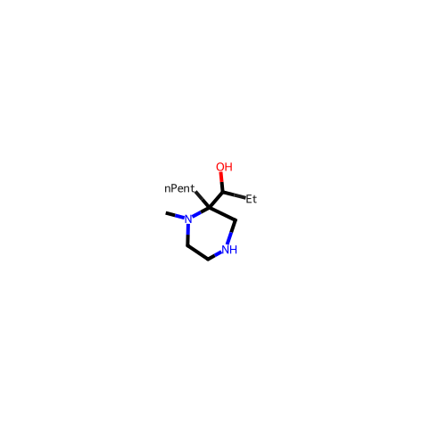 CCCCCC1(C(O)CC)CNCCN1C